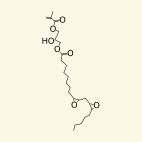 C=C(C)C(=O)OCC(O)COC(=O)CCCCCCCC1OC1CC1OC1CCCCC